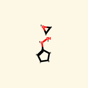 C1CO1.OOC1=CCCC1